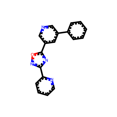 c1ccc(-c2cncc(-c3nc(-c4ccccn4)no3)c2)cc1